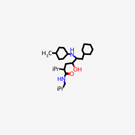 CC(C)CNC(=O)C(CC(O)C(CC1CCCCC1)NC1CCC(C)CC1)C(C)C